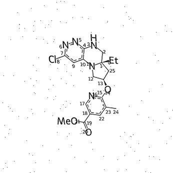 CC[C@]12CNc3nnc(Cl)cc3N1C[C@H](Oc1ncc(C(=O)OC)cc1C)C2